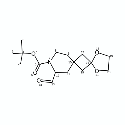 CC(C)(C)OC(=O)N1CCC2(CC1C=O)CC1(C2)OCCO1